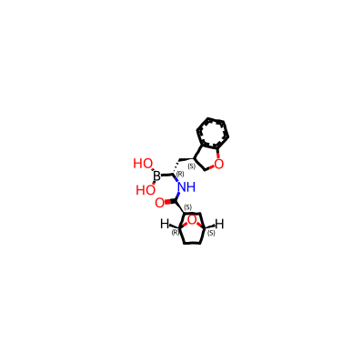 O=C(N[C@@H](C[C@@H]1COc2ccccc21)B(O)O)[C@H]1C[C@@H]2CC[C@H]1O2